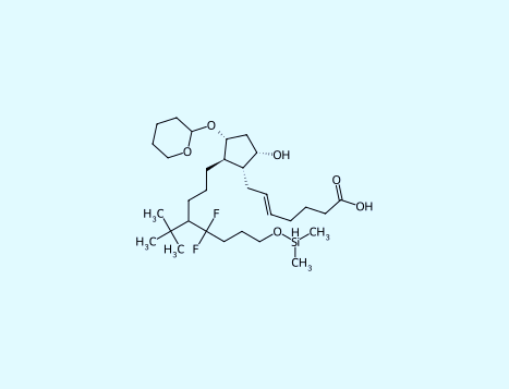 C[SiH](C)OCCCC(F)(F)C(CCC[C@@H]1[C@@H](CC=CCCCC(=O)O)[C@@H](O)C[C@H]1OC1CCCCO1)C(C)(C)C